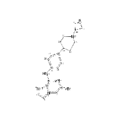 Brc1cn2ccnc2c(Nc2ccc(C3CCN(C4COC4)CC3)cc2)n1